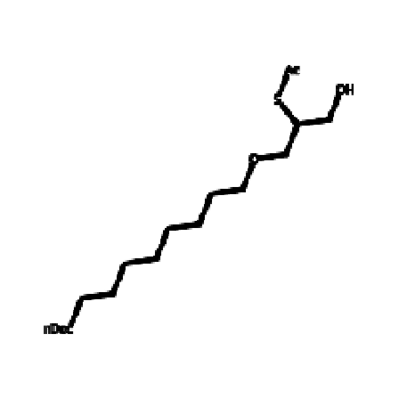 CCCCCCCCCCCCCCCCCCOCC(CO)SC(C)=O